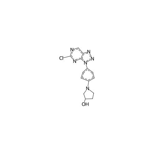 OC1CCN(c2ccc(-n3nnc4cnc(Cl)nc43)cc2)C1